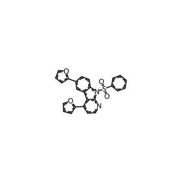 O=S(=O)(c1ccccc1)n1c2ccc(-c3ccco3)cc2c2c(-c3ccco3)ccnc21